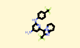 Nc1cc(Nc2ccc(C(F)(F)F)cc2)nc(-c2c(C(F)(F)F)nc3ccccn23)c1